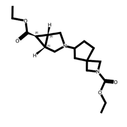 CCOC(=O)[C@H]1[C@@H]2CN(C3CCC4(C3)CN(C(=O)OCC)C4)C[C@@H]21